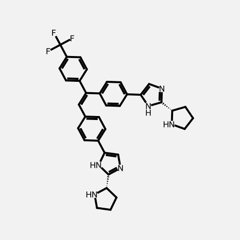 FC(F)(F)c1ccc(C(=Cc2ccc(-c3cnc([C@@H]4CCCN4)[nH]3)cc2)c2ccc(-c3cnc([C@@H]4CCCN4)[nH]3)cc2)cc1